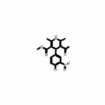 COC(=O)C1=C(C)NC(C)=C(C(C)=O)C1c1ccc(Cl)c([N+](=O)[O-])c1